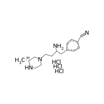 C[C@@H]1CN(CCC(N)Cc2ccc(C#N)cc2)CCN1.Cl.Cl.Cl